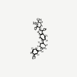 C=C1CCC(N2Cc3cc(C4CCN(Cc5cccc(Cl)c5)CC4)ccc3C2=O)C(=O)N1